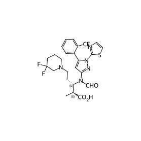 C[C@H](C(=O)O)[C@H](CCN1CCCC(F)(F)C1)N(C=O)c1cc(-c2ccccc2C(F)(F)F)n(-c2nccs2)n1